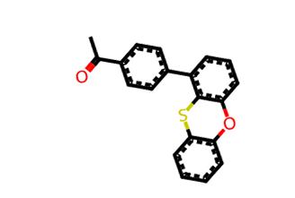 CC(=O)c1ccc(-c2cccc3c2Sc2ccccc2O3)cc1